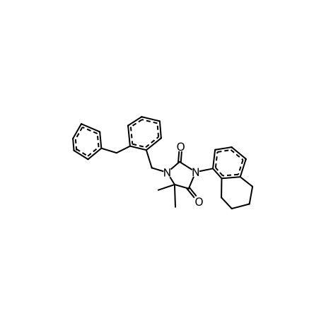 CC1(C)C(=O)N(c2cccc3c2CCCC3)C(=O)N1Cc1ccccc1Cc1ccccc1